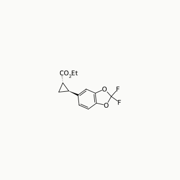 CCOC(=O)[C@H]1C[C@@H]1c1ccc2c(c1)OC(F)(F)O2